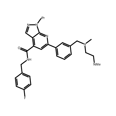 CNCCN(C)Cc1cccc(-c2cc(C(=O)NCc3ccc(F)cc3)c3cnn(C(C)C)c3n2)c1